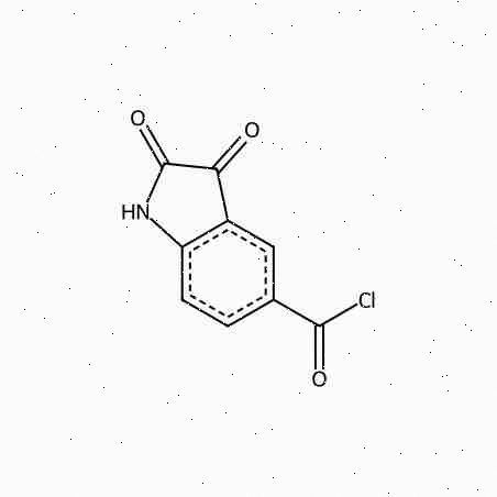 O=C1Nc2ccc(C(=O)Cl)cc2C1=O